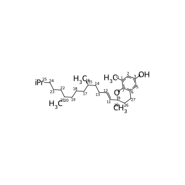 Cc1cc(O)cc2c1O[C@](C)(C=CCC[C@H](C)CCC[C@H](C)CCCC(C)C)CC2